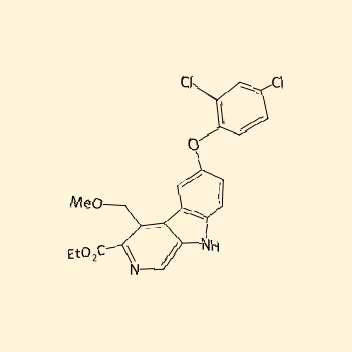 CCOC(=O)c1ncc2[nH]c3ccc(Oc4ccc(Cl)cc4Cl)cc3c2c1COC